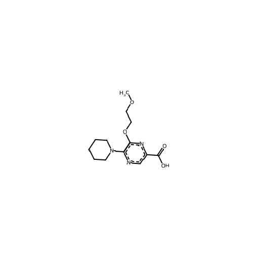 COCCOc1nc(C(=O)O)cnc1N1CCCCC1